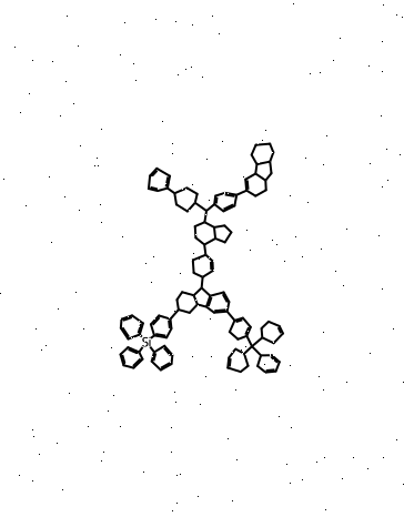 C1=CCC(C(C2=CC=C(c3ccc4c(c3)C3CC(c5ccc([Si](c6ccccc6)(c6ccccc6)c6ccccc6)cc5)CCC3C4C3C=CC(C4CCC(C(c5ccc(C6=CC7C(CC6)CC6CCCCC67)cc5)C5CCC(c6ccccc6)CC5)C5CCCC45)CC3)CC2)(C2CC=CCC2)C2CC=CCC2)C=C1